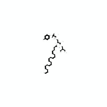 CC/C=C\C/C=C\C/C=C\C/C=C\C/C=C\C/C=C\CCC(=O)NC(CNC(=O)C(C)(C)Oc1ccc(Cl)cc1)C(=O)OCC(CO)CO